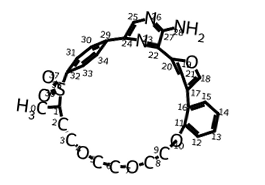 CC1CCOCCOCCOc2ccccc2-c2coc(c2)-c2nc(cnc2N)-c2ccc(cc2)S1(=O)=O